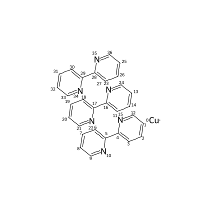 [Cu].c1ccc(-c2ccccn2)nc1.c1ccc(-c2ccccn2)nc1.c1ccc(-c2ccccn2)nc1